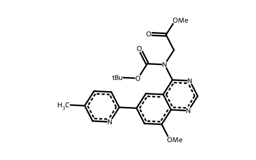 COC(=O)CN(C(=O)OC(C)(C)C)c1ncnc2c(OC)cc(-c3ccc(C)cn3)cc12